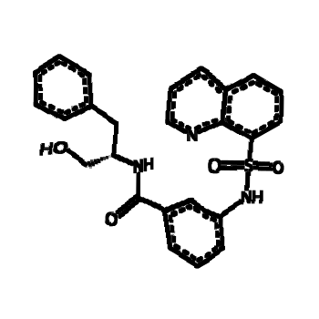 O=C(N[C@H](CO)Cc1ccccc1)c1cccc(NS(=O)(=O)c2cccc3cccnc23)c1